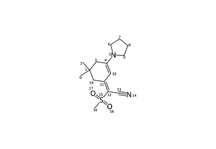 CC1(C)CC(N2CCCC2)=C/C(=C(\C#N)S(C)(=O)=O)C1